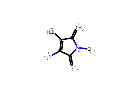 Bc1c(N)c(=C)n(C)c1=C